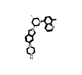 Cc1ccc(N2C[C@@H](C)C[C@@H](N3Cc4ccc(N5CCNCC5)cc4C3)C2)c2cccnc12